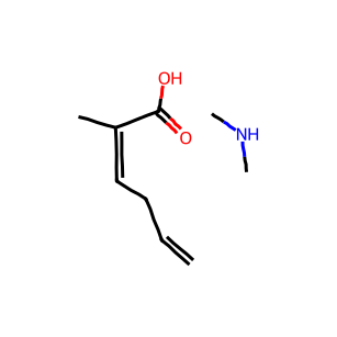 C=CCC=C(C)C(=O)O.CNC